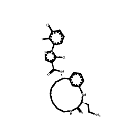 NCC[C@@H]1Nc2cccc(c2)[C@@H](NC(=O)c2cnn(-c3cccc(Cl)c3F)c2Cl)CCCCCCNC1=O